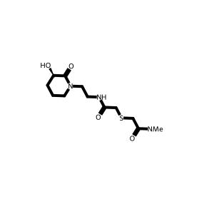 CNC(=O)CSCC(=O)NCCN1CCC[C@@H](O)C1=O